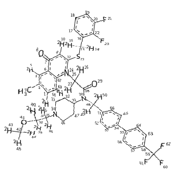 [2H]c1c(C)c([2H])c2c(=O)c([2H])c(SC([2H])([2H])c3cccc(F)c3F)n(C([2H])([2H])C(=O)N(C3CCN(C([2H])([2H])C([2H])([2H])OC([2H])([2H])[2H])CC3)C([2H])([2H])c3ccc(-c4ccc(C(F)(F)F)cc4)cc3)c2c1[2H]